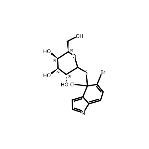 OC[C@H]1OC(SC2(Cl)C(Br)=CC=C3N=CC=C32)[C@H](O)[C@@H](O)[C@H]1O